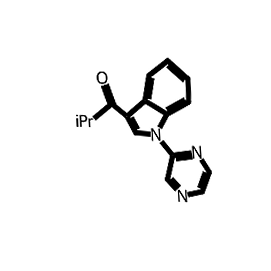 CC(C)C(=O)c1cn(-c2cnccn2)c2ccccc12